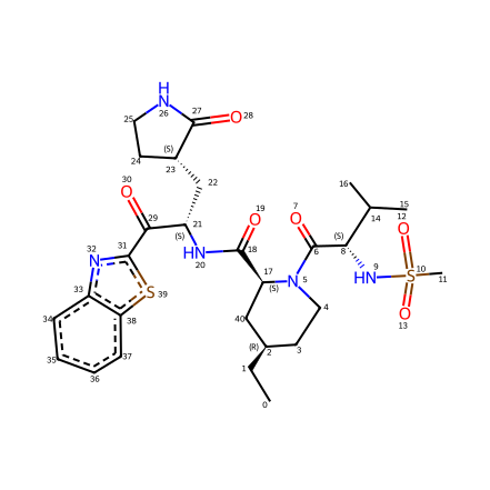 CC[C@@H]1CCN(C(=O)[C@@H](NS(C)(=O)=O)C(C)C)[C@H](C(=O)N[C@@H](C[C@@H]2CCNC2=O)C(=O)c2nc3ccccc3s2)C1